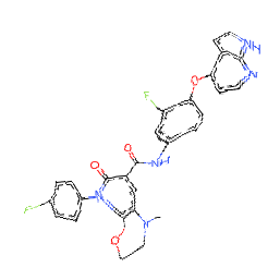 CN1CCOc2c1cc(C(=O)Nc1ccc(Oc3ccnc4[nH]ccc34)c(F)c1)c(=O)n2-c1ccc(F)cc1